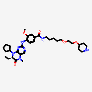 CC[C@@H]1C(=O)N(C)c2cnc(Nc3ccc(C(=O)NCCCCCOCCOC4CCNCC4)cc3OC)nc2N1C1CCCC1